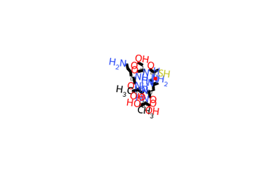 C[C@@H](O)[C@H](NC(=O)[C@H](Cc1c[nH]cn1)NC(=O)[C@@H](NC(=O)[C@H](CCCCN)NC(=O)[C@H](CC(=O)O)NC(=O)[C@@H](N)CS)[C@@H](C)O)C(=O)O